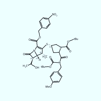 COc1ccc(CN(C(=O)OC(C)(C)C)C(=O)C2C[C@H](SC3=C(C(=O)OCc4ccc([N+](=O)[O-])cc4)N4C(=O)[C@H](C(C)O)[C@H]4[C@H]3C)CN2C(=O)OC(C)(C)C)cc1